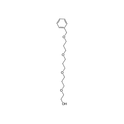 OCCOCCCOCCCOCCCOCc1ccccc1